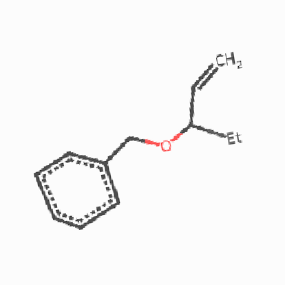 C=CC(CC)OCc1ccccc1